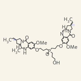 C/C=C1\C[C@H]2C=Nc3cc(OCCCP(=O)(CCCO)CCCOc4cc5c(cc4OC)C(=O)N4C/C(=C/C)C[C@H]4C(C)N5)c(OC)cc3C(=O)N2C1